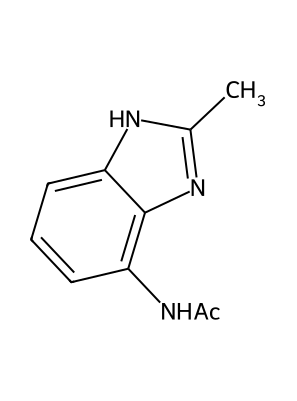 CC(=O)Nc1cccc2[nH]c(C)nc12